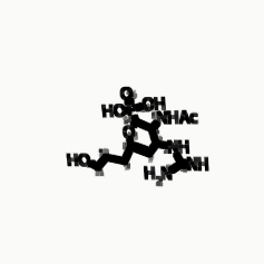 CC(=O)NC1C(NC(=N)N)C=C(CCCO)OC1P(=O)(O)O